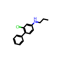 CCCNc1ccc(-c2ccccc2)c(Cl)c1